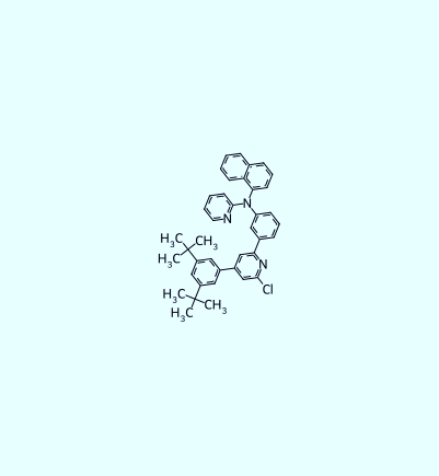 CC(C)(C)c1cc(-c2cc(Cl)nc(-c3cccc(N(c4ccccn4)c4cccc5ccccc45)c3)c2)cc(C(C)(C)C)c1